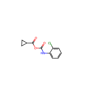 O=C(Nc1ccccc1Cl)OC(=O)C1CC1